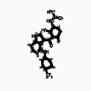 CCC[S+]([O-])Nc1ccc(F)c(C(=O)c2c[nH]c3ncnc(Nc4ccc(C(F)(F)F)cc4)c23)c1F